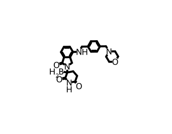 BC1(N2Cc3c(NCc4ccc(CN5CCOCC5)cc4)cccc3C2=O)CCC(=O)NC1=O